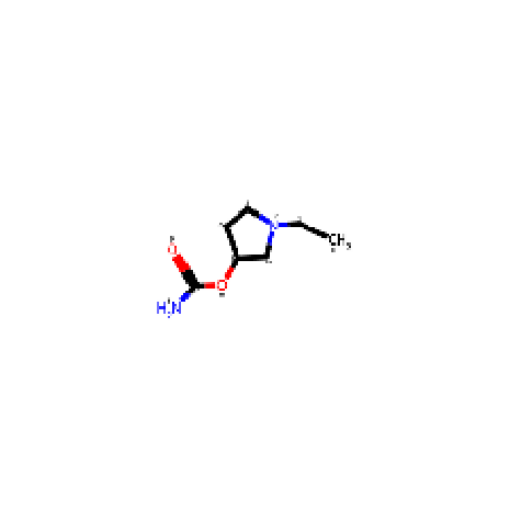 CCN1CCC(OC(N)=O)C1